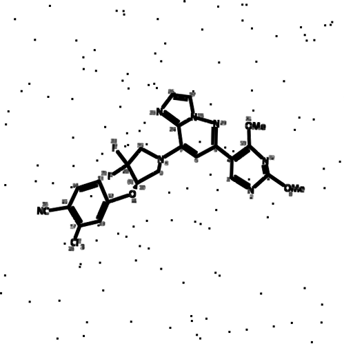 COc1ncc(-c2cc(N3C[C@H](Oc4ccc(C#N)c(C(F)(F)F)c4)C(F)(F)C3)c3nccn3n2)c(OC)n1